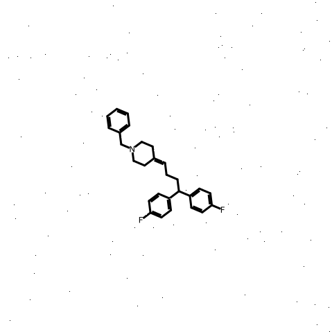 Fc1ccc(C(CCC=C2CCN(Cc3ccccc3)CC2)c2ccc(F)cc2)cc1